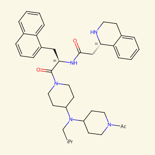 CC(=O)N1CCC(N(CC(C)C)C2CCN(C(=O)[C@@H](Cc3cccc4ccccc34)NC(=O)C[C@@H]3NCCc4ccccc43)CC2)CC1